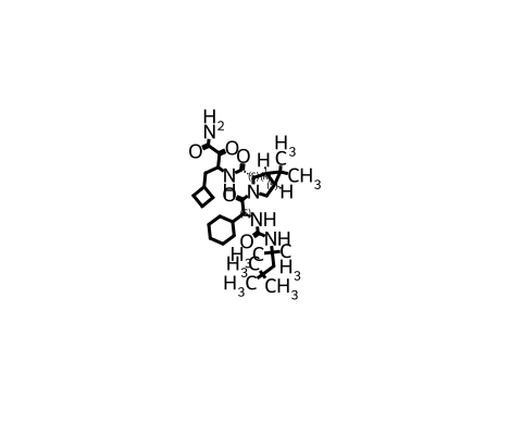 CC(C)(C)CC(C)(C)NC(=O)N[C@H](C(=O)N1C[C@H]2[C@@H]([C@H]1C(=O)NC(CC1CCC1)C(=O)C(N)=O)C2(C)C)C1CCCCC1